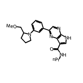 CCCNC(=O)c1c[nH]c2ncc(-c3cccc(N4CCCC4COC)c3)nc12